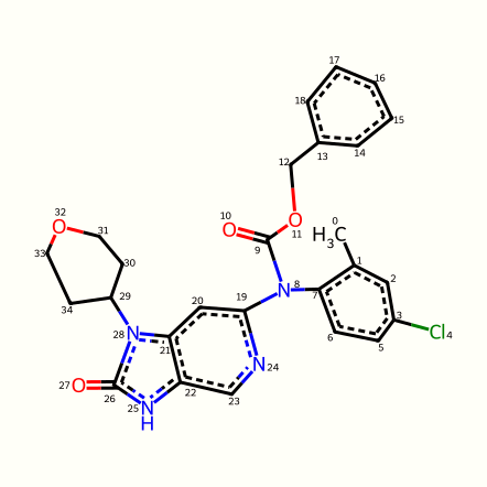 Cc1cc(Cl)ccc1N(C(=O)OCc1ccccc1)c1cc2c(cn1)[nH]c(=O)n2C1CCOCC1